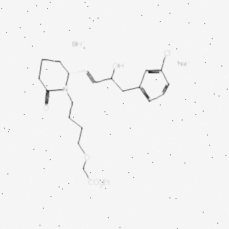 CCOC(=O)COCCCCN1C(=O)CCC[C@@H]1C=CC(O)Cc1cccc(Cl)c1.[BH4-].[Na+]